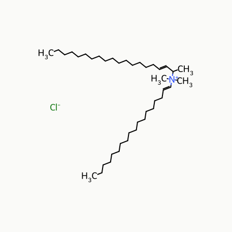 CCCCCCCCCCCCCCCCC=CC(C)[N+](C)(C)C=CCCCCCCCCCCCCCCCC.[Cl-]